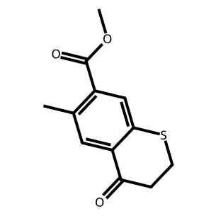 COC(=O)c1cc2c(cc1C)C(=O)CCS2